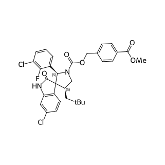 COC(=O)c1ccc(COC(=O)N2C[C@@H](CC(C)(C)C)C3(C(=O)Nc4cc(Cl)ccc43)[C@H]2c2cccc(Cl)c2F)cc1